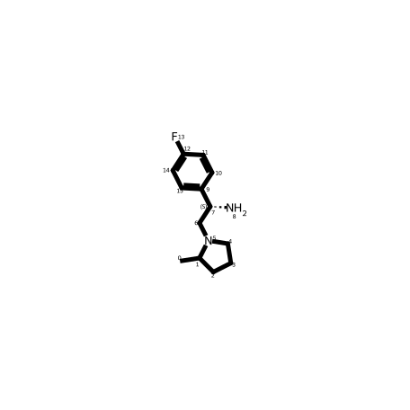 CC1CCCN1C[C@@H](N)c1ccc(F)cc1